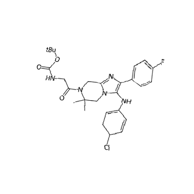 CC(C)(C)OC(=O)NCC(=O)N1Cc2nc(-c3ccc(F)cc3)c(NC3=CCC(Cl)C=C3)n2CC1(C)C